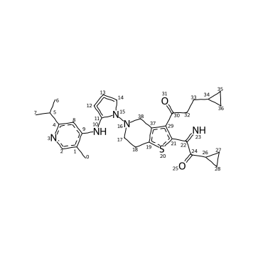 Cc1cnc(C(C)C)cc1NC1=C=C=CN1N1CCc2sc(C(=N)C(=O)C3CC3)c(C(=O)CCC3CC3)c2C1